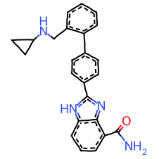 NC(=O)c1cccc2[nH]c(-c3ccc(-c4ccccc4CNC4CC4)cc3)nc12